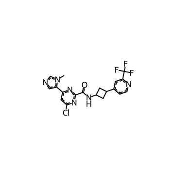 Cn1cncc1-c1cc(Cl)nc(C(=O)NC2CC(c3ccnc(C(F)(F)F)c3)C2)n1